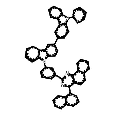 c1ccc(-n2c3ccccc3c3cc(-c4ccc5c(c4)c4ccccc4n5-c4cccc(-c5nc(-c6cccc7ccccc67)c6ccc7ccccc7c6n5)c4)ccc32)cc1